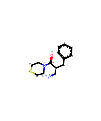 NC[C@H](Cc1ccccc1)C(=O)N1CCSCC1